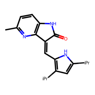 Cc1ccc2c(n1)C(=Cc1[nH]c(C(C)C)cc1C(C)C)C(=O)N2